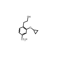 O=C(O)c1ccc(CCO)c(OC2CC2)c1